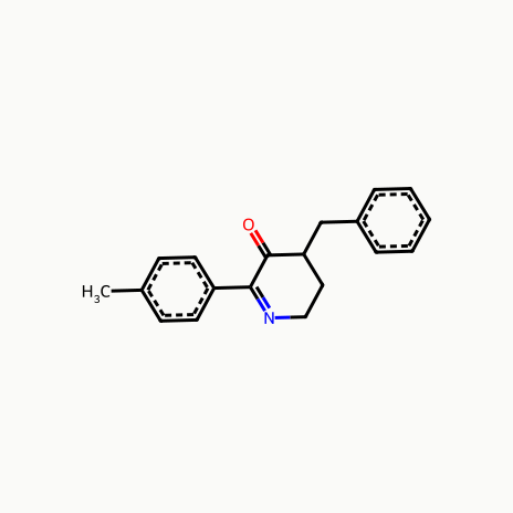 Cc1ccc(C2=NCCC(Cc3ccccc3)C2=O)cc1